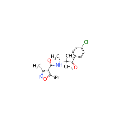 Cc1noc(C(C)C)c1C(=O)NC(C)C(C)(C)C(=O)c1ccc(Cl)cc1